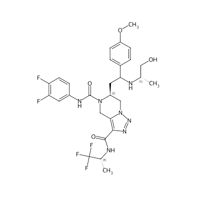 COc1ccc(C(C[C@H]2Cn3nnc(C(=O)N[C@H](C)C(F)(F)F)c3CN2C(=O)Nc2ccc(F)c(F)c2)N[C@@H](C)CO)cc1